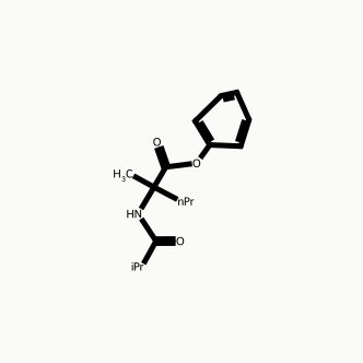 CCCC(C)(NC(=O)C(C)C)C(=O)Oc1ccccc1